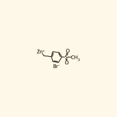 CS(=O)(=O)c1ccc([CH2][Zn+])cc1.[Br-]